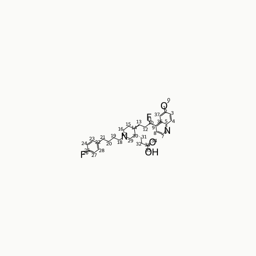 COc1ccc2nccc([C@H](F)CC[C@@H]3CCN(CCCCc4ccc(F)cc4)C[C@H]3CCC(=O)O)c2c1